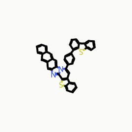 c1ccc2cc3cc4c(cc3cc2c1)nc1c2sc3ccccc3c2cc(-c2ccc(-c3cccc5c3sc3ccccc35)cc2)n41